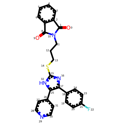 O=C1c2ccccc2C(=O)N1CCCSc1nc(-c2ccc(F)cc2)c(-c2ccncc2)[nH]1